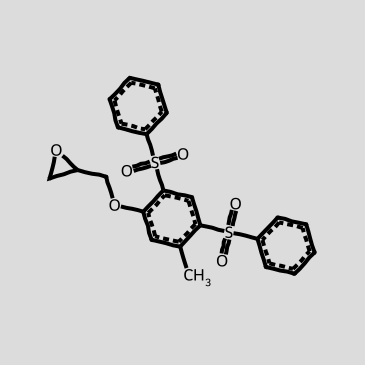 Cc1cc(OCC2CO2)c(S(=O)(=O)c2ccccc2)cc1S(=O)(=O)c1ccccc1